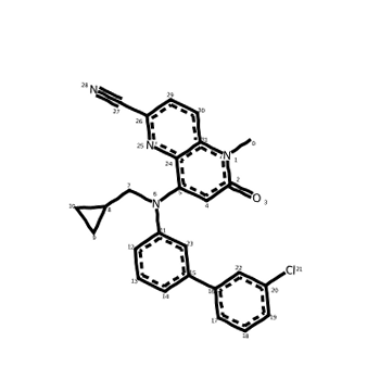 Cn1c(=O)cc(N(CC2CC2)c2cccc(-c3cccc(Cl)c3)c2)c2nc(C#N)ccc21